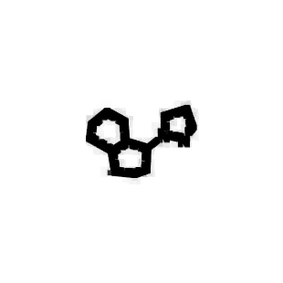 [c]1ccc(-n2cccn2)c2ccccc12